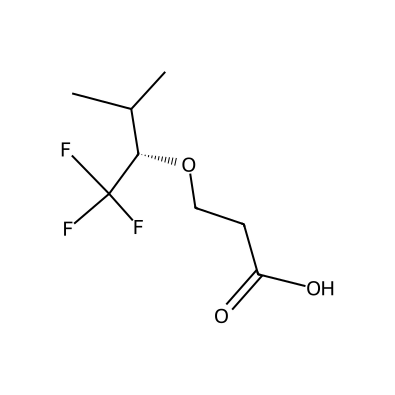 CC(C)[C@H](OCCC(=O)O)C(F)(F)F